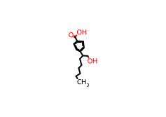 CCCCCCC(CO)c1ccc(C(=O)O)cc1